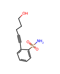 NS(=O)(=O)c1ccccc1C#CCCCO